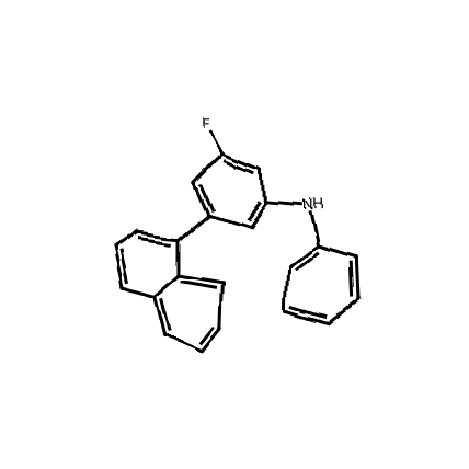 Fc1cc(Nc2ccccc2)cc(-c2cccc3ccccc23)c1